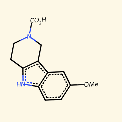 COc1ccc2[nH]c3c(c2c1)CN(C(=O)O)CC3